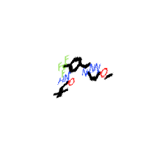 CCOc1ccc2nc(-c3ccc(C(F)(F)F)c(NC(=O)CC(C)(C)C)c3)cn2n1